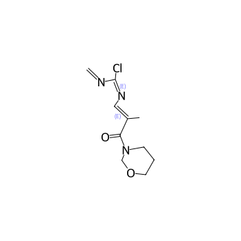 C=N/C(Cl)=N\C=C(/C)C(=O)N1CCCOC1